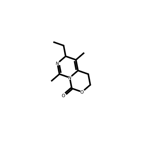 CCC1N=C(C)N2C(=O)OCCC2=C1C